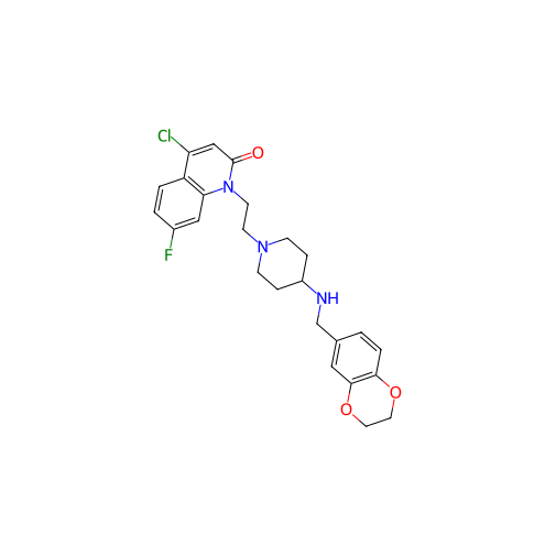 O=c1cc(Cl)c2ccc(F)cc2n1CCN1CCC(NCc2ccc3c(c2)OCCO3)CC1